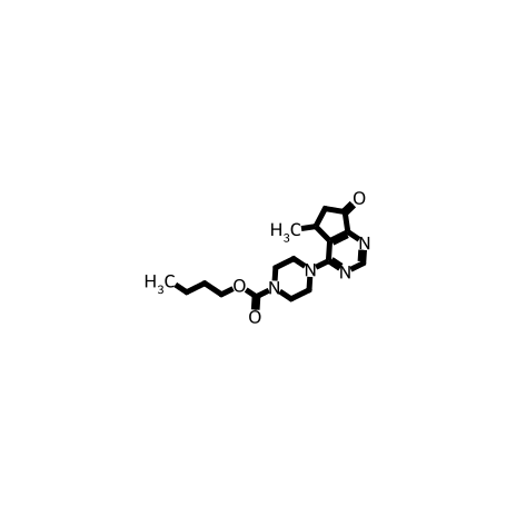 CCCCOC(=O)N1CCN(c2ncnc3c2C(C)CC3=O)CC1